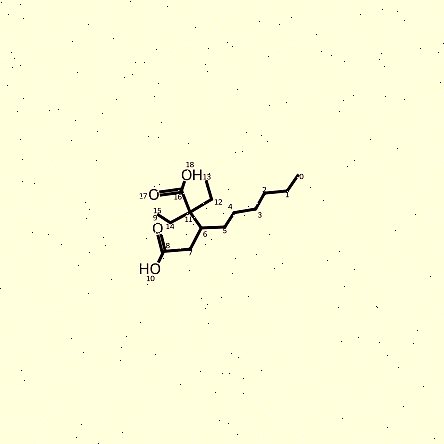 CCCCCCC(CC(=O)O)C(CC)(CC)C(=O)O